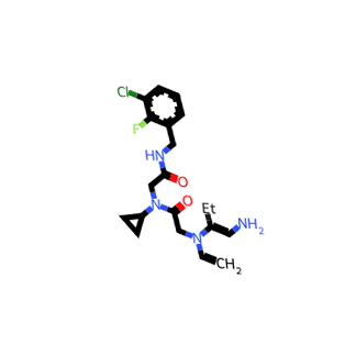 C=CN(CC(=O)N(CC(=O)NCc1cccc(Cl)c1F)C1CC1)/C(=C/N)CC